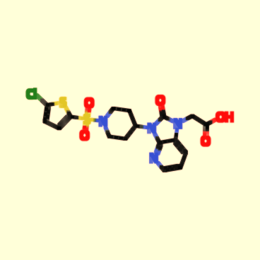 O=C(O)Cn1c(=O)n(C2CCN(S(=O)(=O)c3ccc(Cl)s3)CC2)c2ncccc21